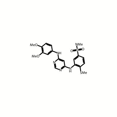 CNS(=O)(=O)c1ccc(SC)c(Nc2cc(Nc3ccc(OC)c(OC)c3)ncn2)c1